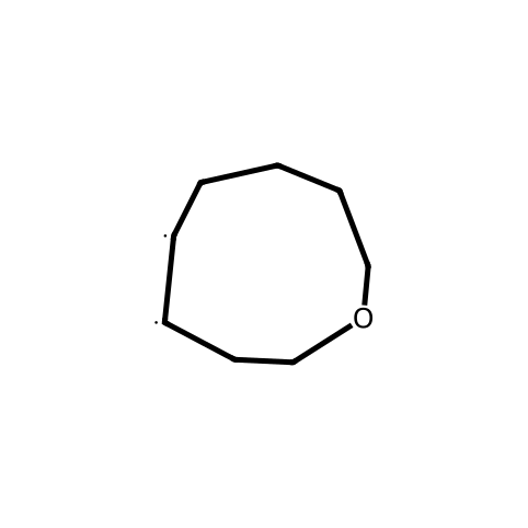 [CH]1[CH]CCOCCCC1